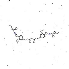 CCOC(=O)/C=C/Oc1ccc(CCC(=O)CC(=O)CCc2ccc(O/C=C/C(=O)OCC)c(OC)c2)cc1OC